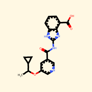 CC(Oc1cncc(C(=O)Nc2nc3c(C(=O)O)cccc3[nH]2)c1)C1CC1